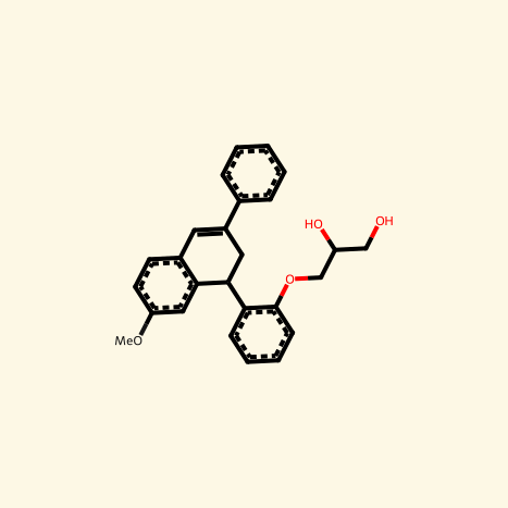 COc1ccc2c(c1)C(c1ccccc1OCC(O)CO)CC(c1ccccc1)=C2